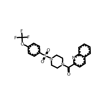 O=C(c1ccc2ccccc2n1)N1CCN(S(=O)(=O)c2ccc(OC(F)(F)F)cc2)CC1